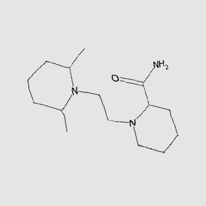 CC1CCCC(C)N1CCN1CCCCC1C(N)=O